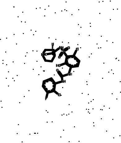 O=C(Nc1ccc(Cl)c(S(=O)(=O)N[C@@H]2CN3CCC2CC3)c1O)Nc1cccc(F)c1Cl